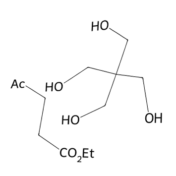 CCOC(=O)CCC(C)=O.OCC(CO)(CO)CO